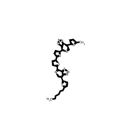 CCCCCCc1ccc(-c2cnc(-c3ccc(-c4ccc(-c5ncc(-c6ccc(C)s6)c6nnsc56)s4)s3)c3snnc23)s1